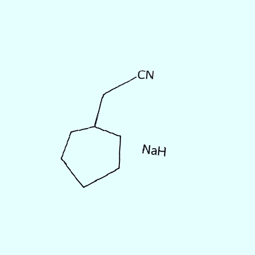 N#CCC1CCCCC1.[NaH]